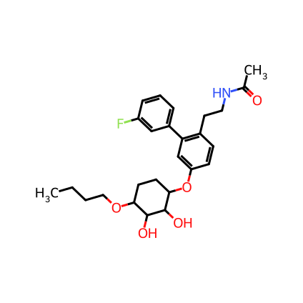 CCCCOC1CCC(Oc2ccc(CCNC(C)=O)c(-c3cccc(F)c3)c2)C(O)C1O